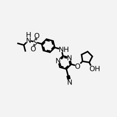 CC(C)NS(=O)(=O)c1ccc(Nc2ncc(C#N)c(OC3CCCC3O)n2)cc1